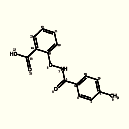 Cc1ccc(C(=O)NOc2ccccc2C(=O)O)cc1